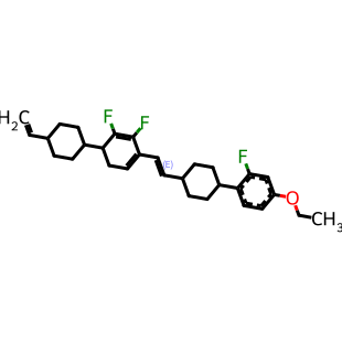 C=CC1CCC(C2CC=C(/C=C/C3CCC(c4ccc(OCC)cc4F)CC3)C(F)=C2F)CC1